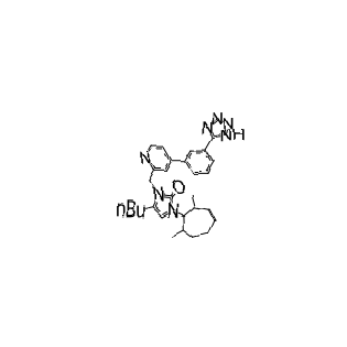 CCCCc1cn(C2C(C)CCCCC2C)c(=O)n1Cc1cc(-c2cccc(-c3nnn[nH]3)c2)ccn1